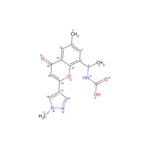 Cc1cc(C(C)NC(=O)O)c2oc(-c3cnn(C)c3)cc(=O)c2c1